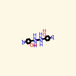 CN(C)c1ccc(C2NC(=C3NC(c4ccc(N(C)C)cc4O)N3)N2)c(O)c1